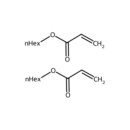 C=CC(=O)OCCCCCC.C=CC(=O)OCCCCCC